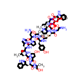 CCCC[C@@H](C(=O)N(C)[C@@H](CCCC)C(=O)N[C@@H](Cc1ccccn1)C(=O)N[C@@H](CSCC(=O)N[C@@H](Cc1ccc(O)cc1)C(=O)N(C)[C@@H](C)C(=O)NC(CC(N)=O)C(=O)N1CCC[C@H]1C(=O)N[C@@H](Cc1cnc[nH]1)C(=O)N[C@@H](CC(C)C)C(=O)N1C[C@H](O)CC1C(=O)N[C@@H](Cc1c[nH]c2ccccc12)C(=O)N[C@H](C)CO)C(=O)NCC(N)=O)N(C)C(=O)[C@H](Cc1c[nH]c2ccccc12)NC=O